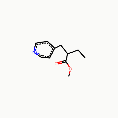 CCC(Cc1ccncc1)C(=O)OC